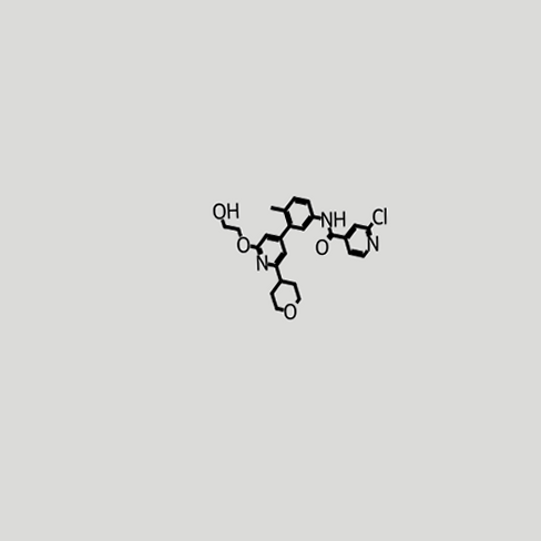 Cc1ccc(NC(=O)c2ccnc(Cl)c2)cc1-c1cc(OCCO)nc(C2CCOCC2)c1